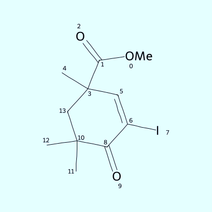 COC(=O)C1(C)C=C(I)C(=O)C(C)(C)C1